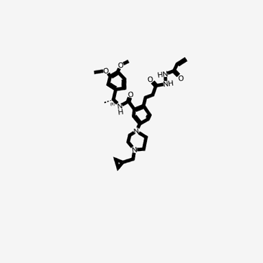 C=CC(=O)NNC(=O)CCc1ccc(N2CCN(CC3CC3)CC2)cc1C(=O)N[C@H](C)c1ccc(OC)c(OC)c1